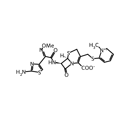 CO/N=C(\C(=O)N[C@@H]1C(=O)N2C(C(=O)[O-])=C(CSc3cccc[n+]3C)CS[C@H]12)c1csc(N)n1